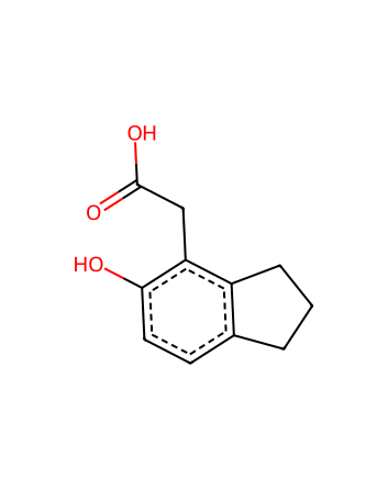 O=C(O)Cc1c(O)ccc2c1CCC2